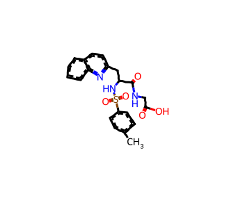 Cc1ccc(S(=O)(=O)NC(Cc2ccc3ccccc3n2)C(=O)NCC(=O)O)cc1